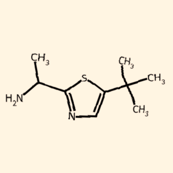 CC(N)c1ncc(C(C)(C)C)s1